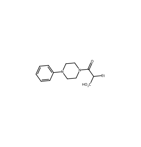 [CH2]CC(C(=O)O)C(=O)N1CCN(c2ccccc2)CC1